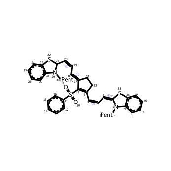 CCCC(C)N1/C(=C\C=C/C2=C(S(=O)(=O)c3ccccc3)C(=C/C=C\C3Sc4ccccc4N3C(C)CCC)/CC2)Sc2ccccc21